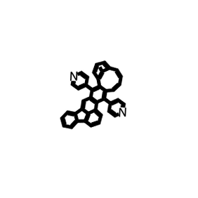 Cc1c2ccccc3c(-c4ccncc4)c4c(cc5c6ccccc6c6cccc4c65)c(-c4ccncc4)c3c1ccc2